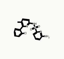 Cc1ccc(NS(=O)(=O)c2cccc(N)n2)nc1-c1ccccc1Cl